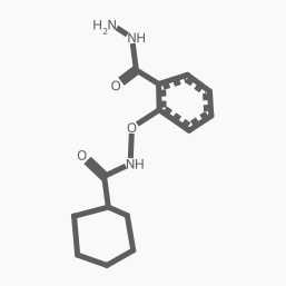 NNC(=O)c1ccccc1ONC(=O)C1CCCCC1